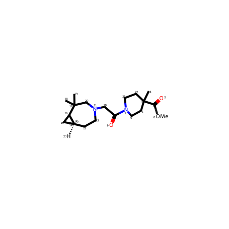 COC(=O)C1(C)CCN(C(=O)CN2CC[C@H]3CC3C(C)(C)C2)CC1